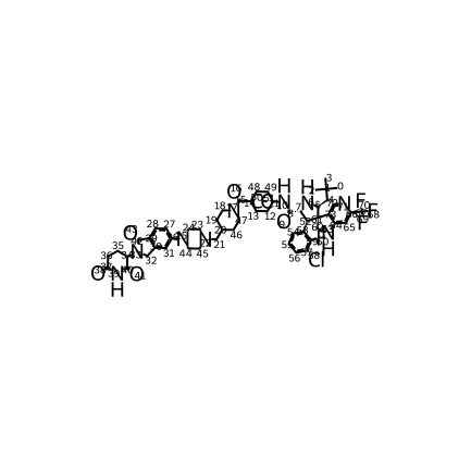 CC(C)(C)C[C@@H]1N[C@@H](C(=O)NC23CCC(C(=O)N4CCC(CN5CCN(c6ccc7c(c6)CN(C6CCC(=O)NC6=O)C7=O)CC5)CC4)(CC2)CC3)[C@H](c2cccc(Cl)c2F)[C@]12CNc1cc(C(F)(F)F)ncc12